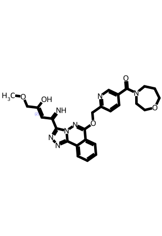 COC/C(O)=C/C(=N)c1nnc2c3ccccc3c(OCc3ccc(C(=O)N4CCCOCC4)cn3)nn12